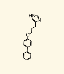 [c]1cccc(-c2ccc(OCCCc3c[nH]cn3)cc2)c1